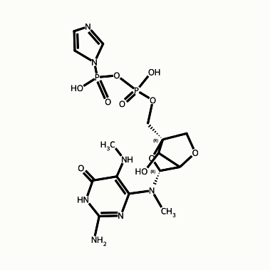 CNc1c(N(C)[C@@H]2O[C@@]3(COP(=O)(O)OP(=O)(O)n4ccnc4)COC2C3O)nc(N)[nH]c1=O